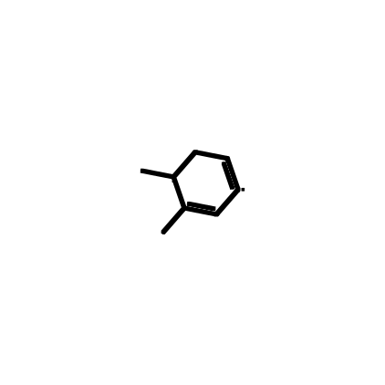 C[C]1CC=[C]C=C1C